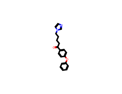 O=C(CCCCn1ccnc1)c1ccc(Oc2ccccc2)cc1